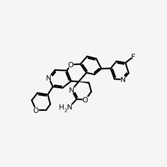 NC1=N[C@@]2(CCO1)c1cc(-c3cncc(F)c3)ccc1Oc1cnc(C3=CCOCC3)cc12